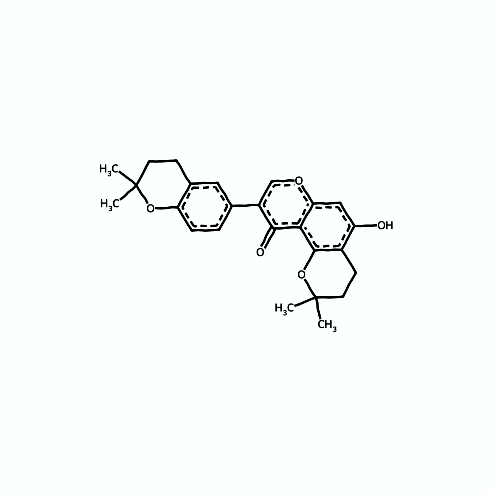 CC1(C)CCc2cc(-c3coc4cc(O)c5c(c4c3=O)OC(C)(C)CC5)ccc2O1